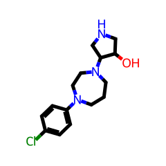 OC1CNCC1N1CCCN(c2ccc(Cl)cc2)CC1